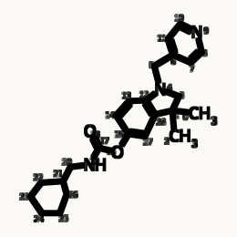 CC1(C)CN(Cc2ccncc2)c2ccc(OC(=O)NCC3CCCCC3)cc21